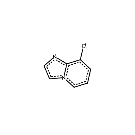 Clc1cccn2[c]cnc12